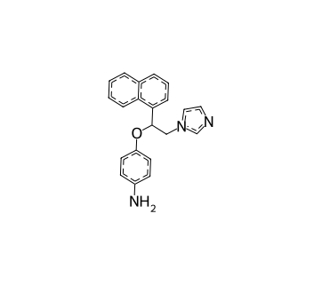 Nc1ccc(OC(Cn2ccnc2)c2cccc3ccccc23)cc1